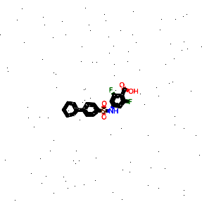 O=C(O)c1c(F)cc(NS(=O)(=O)c2ccc(C3=CCCCC3)cc2)cc1F